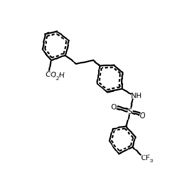 O=C(O)c1ccccc1CCc1ccc(NS(=O)(=O)c2cccc(C(F)(F)F)c2)cc1